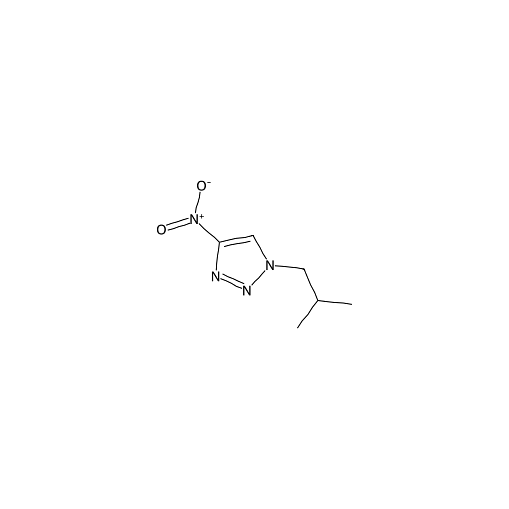 CC(C)Cn1cc([N+](=O)[O-])nn1